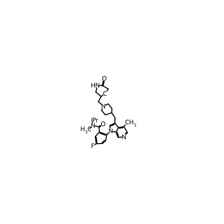 Cc1cncc2c1c(CC1CCN(CC3CCC(=O)NC3)CC1)cn2-c1ccc(F)cc1C(=O)N(C)C(C)C